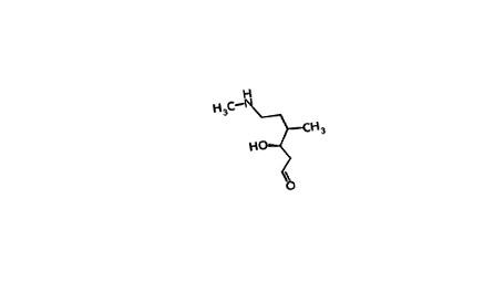 CNCCC(C)[C@H](O)CC=O